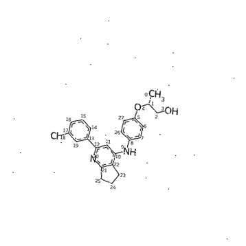 CC(CO)Oc1ccc(Nc2cc(-c3cccc(Cl)c3)nc3c2CCC3)cc1